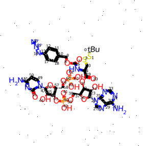 CC(C)(C)SSCC(NC(=O)OCc1ccc(N=[N+]=[N-])cc1)C(=O)O[C@H]1[C@@H](O)[C@H](n2cnc3c(N)ncnc32)O[C@H]1COP(=O)(O)O[C@H]1[C@@H](O)[C@H](n2ccc(N)nc2=O)O[C@@H]1COP(=O)(O)O